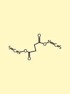 O=C(CCC(=O)ON=C=S)ON=C=S